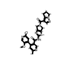 COc1cnc(Cl)cc1-c1cc(C)ncc1C(=O)Nc1nc2c(s1)CN(C(=O)c1cnn3c1CCC3)C2